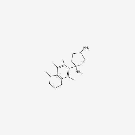 Cc1c(C)c(C2(N)CCC(N)CC2)c(C)c2c1C(C)CCC2